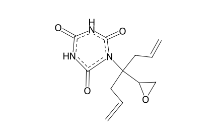 C=CCC(CC=C)(C1CO1)n1c(=O)[nH]c(=O)[nH]c1=O